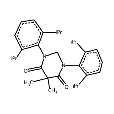 CC(C)c1cccc(C(C)C)c1N1CN(c2c(C(C)C)cccc2C(C)C)C(=O)C(C)(C)C1=O